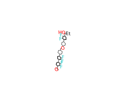 CCC(O)c1ccc(C2CCC(OCC3CCC(c4ccc(-c5ccc(C6CO6)c(F)c5F)c(F)c4F)CC3)CC2)c(F)c1F